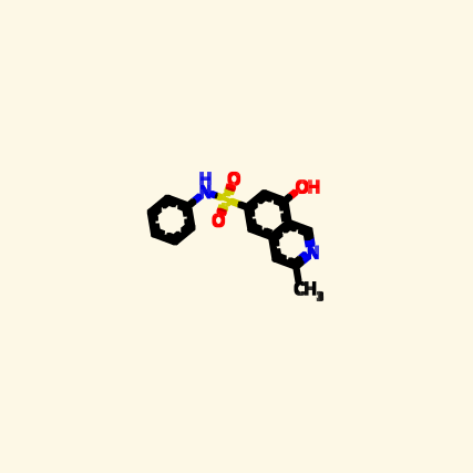 Cc1cc2cc(S(=O)(=O)Nc3ccccc3)cc(O)c2cn1